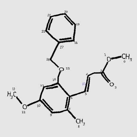 COC(=O)/C=C/c1c(C)cc(OC)cc1OCc1ccccc1